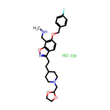 CNCc1c(OCc2ccc(F)cc2)ccc2c(CCC3CCN(CC4OCCO4)CC3)noc12.Cl.Cl